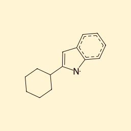 C1=C(C2CCCCC2)[N]c2ccccc21